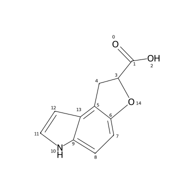 O=C(O)C1Cc2c(ccc3[nH]ccc23)O1